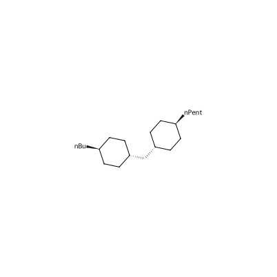 CCCCC[C@H]1CC[C@H](C[C@H]2CC[C@H](CCCC)CC2)CC1